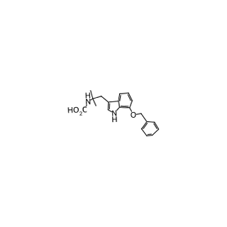 CC(C)(Cc1c[nH]c2c(OCc3ccccc3)cccc12)NC(=O)O